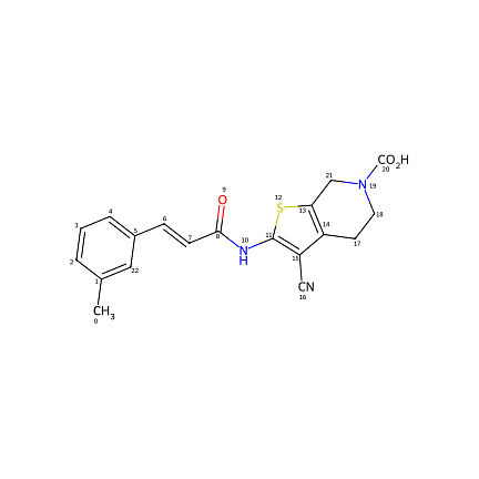 Cc1cccc(C=CC(=O)Nc2sc3c(c2C#N)CCN(C(=O)O)C3)c1